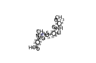 COc1cccc(NC(=O)c2cc(-c3ccc(/C=C4\C(=O)N(c5ccc(C(=O)O)cc5)N=C4C)s3)ccc2Cl)c1